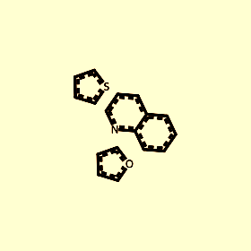 c1ccc2ncccc2c1.c1ccoc1.c1ccsc1